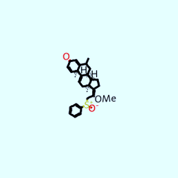 COC(C[S+]([O-])c1ccccc1)=C1CC[C@H]2[C@@H]3CC(C)C4=CC(=O)C=C[C@]4(C)C3=CC[C@]12C